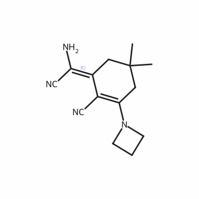 CC1(C)CC(N2CCC2)=C(C#N)/C(=C(/N)C#N)C1